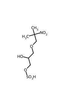 CC(C)(COCC(O)COS(=O)(=O)O)[N+](=O)[O-]